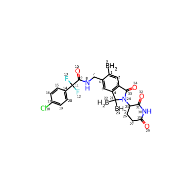 Bc1cc2c(cc1CNC(=O)C(F)(F)c1ccc(Cl)cc1)C(B)(B)N(C1CCC(=O)NC1=O)C2=O